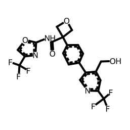 O=C(Nc1nc(C(F)(F)F)co1)C1(c2ccc(-c3cnc(C(F)(F)F)cc3CO)cc2)COC1